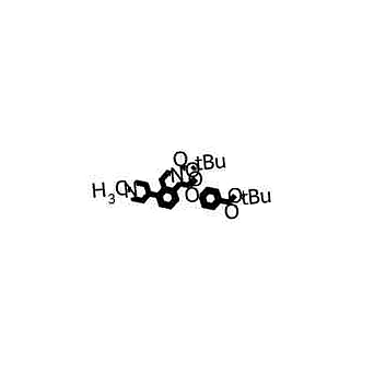 CN1CCC(c2cccc3c2CCN(C(=O)OC(C)(C)C)C3C(=O)Oc2ccc(C(=O)OC(C)(C)C)cc2)CC1